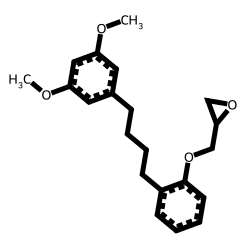 COc1cc(CCCCc2ccccc2OCC2CO2)cc(OC)c1